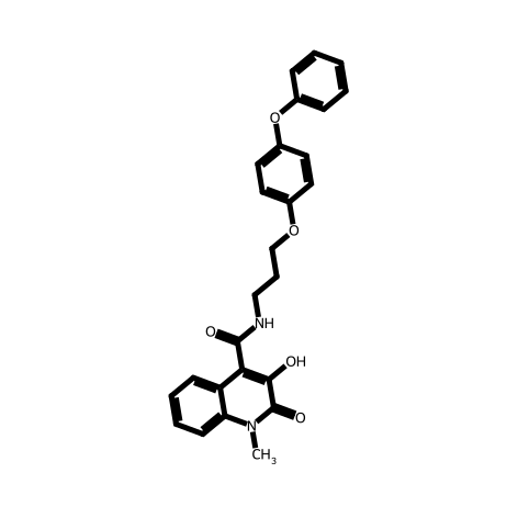 Cn1c(=O)c(O)c(C(=O)NCCCOc2ccc(Oc3ccccc3)cc2)c2ccccc21